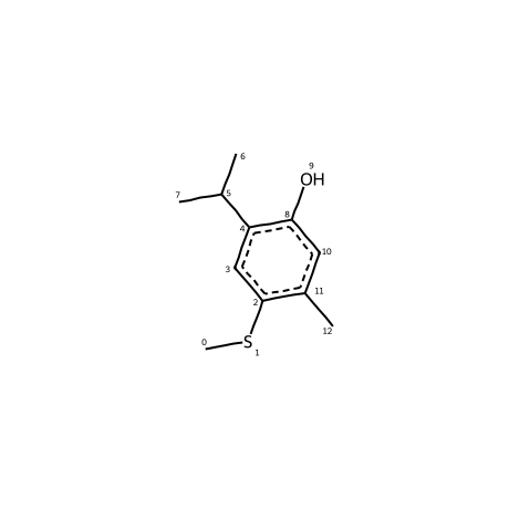 CSc1cc(C(C)C)c(O)cc1C